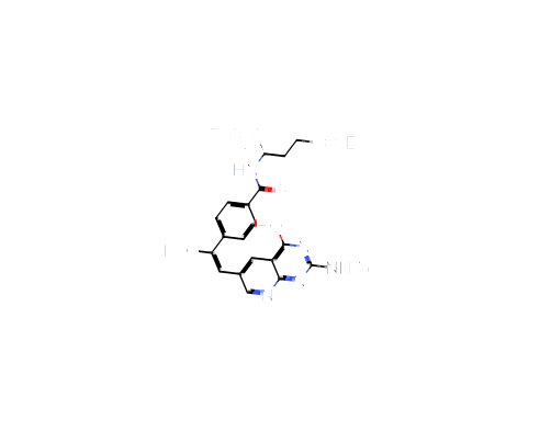 CCOC(=O)CC[C@@H](NC(=O)c1ccc(C(C)=Cc2cnc3nc(NC(C)=O)nc(O)c3c2)cc1)C(=O)OCC